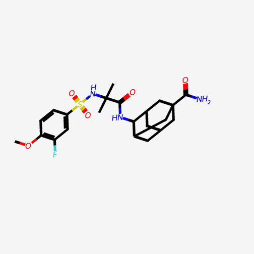 COc1ccc(S(=O)(=O)NC(C)(C)C(=O)NC2C3CC4CC2CC(C(N)=O)(C4)C3)cc1F